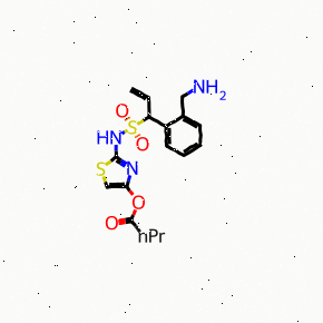 C=CC(c1ccccc1CN)S(=O)(=O)Nc1nc(OC(=O)CCC)cs1